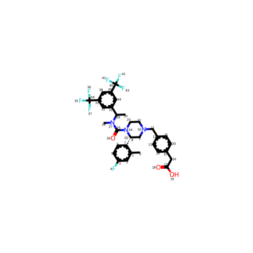 Cc1cc(F)ccc1[C@H]1CN(Cc2ccc(CC(=O)O)cc2)CCN1C(=O)N(C)C(C)c1cc(C(F)(F)F)cc(C(F)(F)F)c1